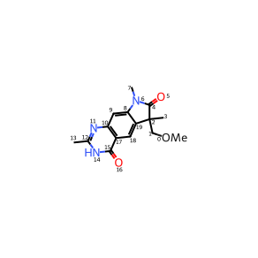 COCC1(C)C(=O)N(C)c2cc3nc(C)[nH]c(=O)c3cc21